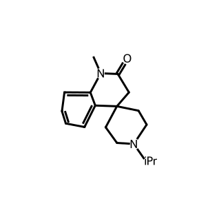 CC(C)N1CCC2(CC1)CC(=O)N(C)c1ccccc12